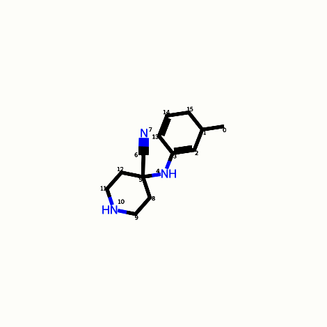 CC1C=C(NC2(C#N)CCNCC2)C=CC1